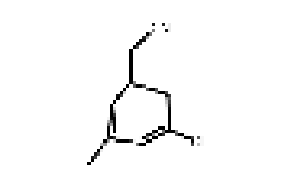 CC1=CC(CC#N)CC(Cl)=C1